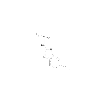 Nc1ccc2nc(NC(=O)C(F)(F)F)[nH]c2c1